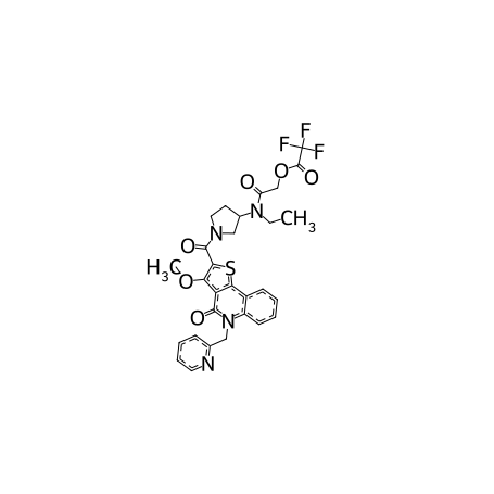 CCN(C(=O)COC(=O)C(F)(F)F)C1CCN(C(=O)c2sc3c(c2OC)c(=O)n(Cc2ccccn2)c2ccccc32)C1